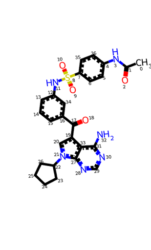 CC(=O)Nc1ccc(S(=O)(=O)Nc2cccc(C(=O)c3cn(C4CCCC4)c4ncnc(N)c34)c2)cc1